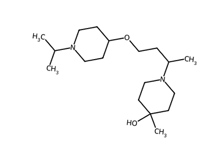 CC(C)N1CCC(OCCC(C)N2CCC(C)(O)CC2)CC1